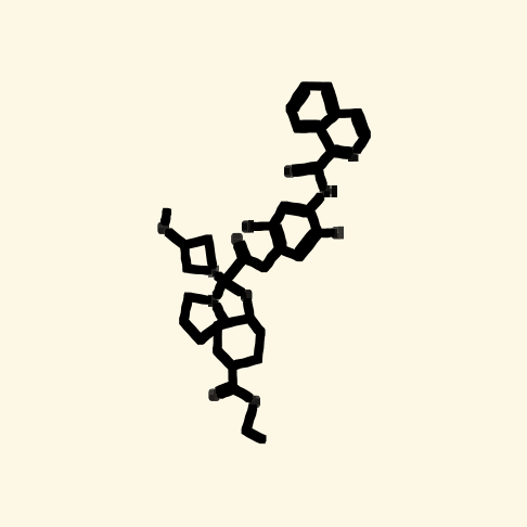 CCOC(=O)C1CCC(OC(C(=O)Cc2cc(Cl)c(NC(=O)c3nccc4ccccc34)cc2Cl)(N2CCCC2)N2CC(OC)C2)CC1